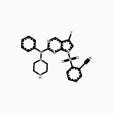 N#Cc1ccccc1S(=O)(=O)n1cc(F)c2cnc(N(c3ccccc3)N3CCNCC3)nc21